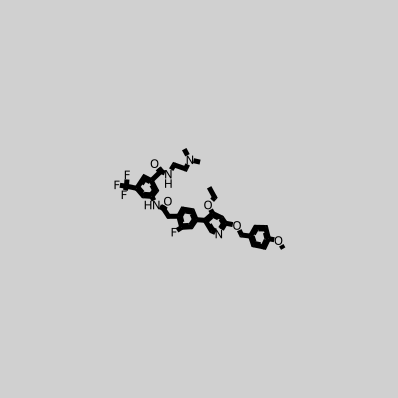 CCOc1cc(OCc2ccc(OC)cc2)ncc1-c1ccc(CC(=O)Nc2cc(C(=O)NCCN(C)C)cc(C(F)(F)F)c2)c(F)c1